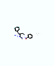 COc1ccc(C(=O)N2CCc3c(nn(C)c3-c3cc(F)c(F)c(F)c3)[C@@H]2C)cc1